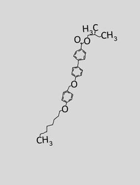 CCCCCCCCOc1ccc(COc2ccc(-c3ccc(C(=O)OC[C@@H](C)CC)cc3)cc2)cc1